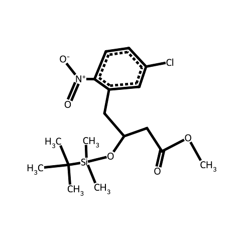 COC(=O)CC(Cc1cc(Cl)ccc1[N+](=O)[O-])O[Si](C)(C)C(C)(C)C